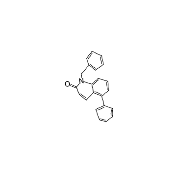 O=c1ccc2c(-c3ccccc3)cccc2n1Cc1ccccc1